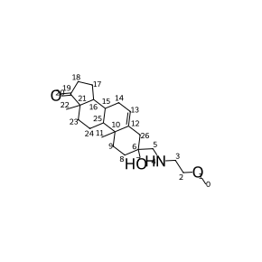 COCCNCC1(O)CCC2(C)C(=CCC3C4CCC(=O)C4(C)CCC32)C1